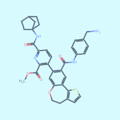 COC(=O)c1nc(C(=O)NC23CCC(CC2)C3)ccc1-c1cc2c(cc1C(=O)Nc1ccc(CN)cc1)-c1sccc1CCO2